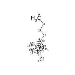 CCCC[C]12[CH]3[CH]4[C]5(Cl)[CH]1[Fe]43521678[CH]2[CH]1[CH]6[CH]7[CH]28